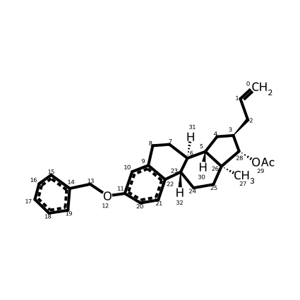 C=CC[C@@H]1C[C@H]2[C@@H]3CCc4cc(OCc5ccccc5)ccc4[C@H]3CC[C@]2(C)[C@H]1OC(C)=O